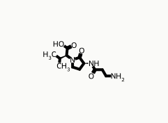 CC(C)[C@@H](C(=O)O)N1CC[C@@H](NC(=O)CCN)C1=O